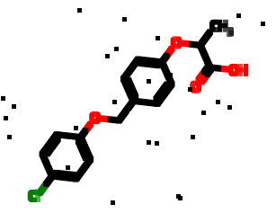 CC(Oc1ccc(COc2ccc(Cl)cc2)cc1)C(=O)O